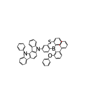 c1ccc(Oc2cccc(-c3ccccc3)c2B2c3ccccc3Sc3cc(-n4c5ccccc5c5c4ccc4c6ccccc6n(-c6ccccc6)c45)ccc32)cc1